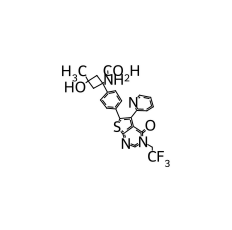 CC1(O)CC(NC(=O)O)(c2ccc(-c3sc4ncn(CC(F)(F)F)c(=O)c4c3-c3ccccn3)cc2)C1